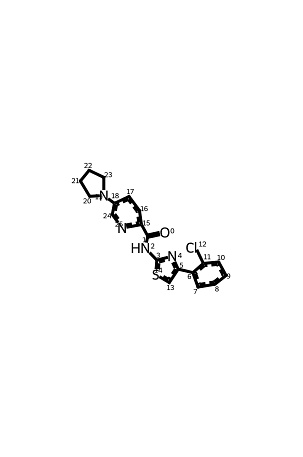 O=C(Nc1nc(-c2ccccc2Cl)cs1)c1ccc(N2CCCC2)cn1